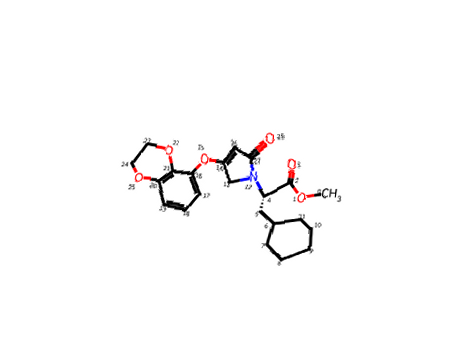 COC(=O)[C@H](CC1CCCCC1)N1CC(Oc2cccc3c2OCCO3)=CC1=O